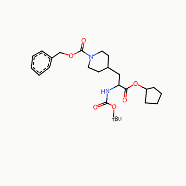 CC(C)(C)OC(=O)NC(CC1CCN(C(=O)OCc2ccccc2)CC1)C(=O)OC1CCCC1